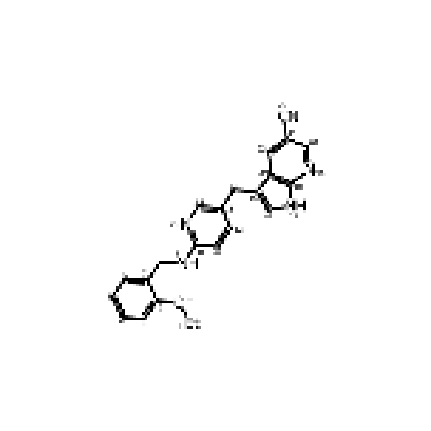 CCOc1ccccc1CNc1ccc(Cc2c[nH]c3ncc(C#N)cc23)cn1